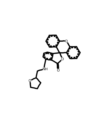 O=C1OC2(c3ccccc3Oc3ccccc32)c2cccc(NCC3CCCO3)c21